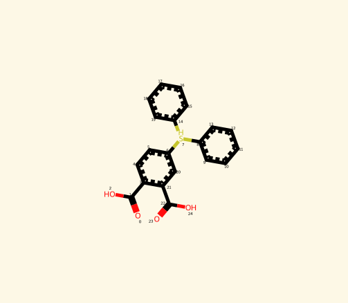 O=C(O)c1ccc([SH](c2ccccc2)c2ccccc2)cc1C(=O)O